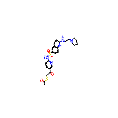 CC(=O)SCC(=O)c1ccc(NS(=O)(=O)c2ccc3nc(NCCN4CCCCC4)ccc3c2)nc1